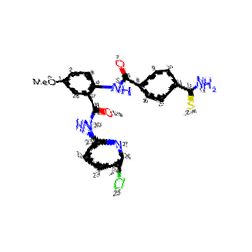 COc1ccc(NC(=O)c2ccc(C(N)=S)cc2)c(C(=O)Nc2ccc(Cl)cn2)c1